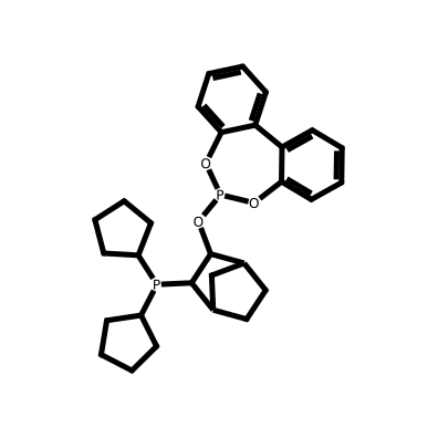 c1ccc2c(c1)op(OC1C3CCC(C3)C1P(C1CCCC1)C1CCCC1)oc1ccccc12